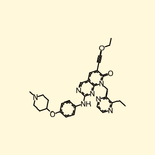 CCOC#Cc1cc2cnc(Nc3ccc(OC4CCN(C)CC4)cc3)nc2n(Cc2nccnc2CC)c1=O